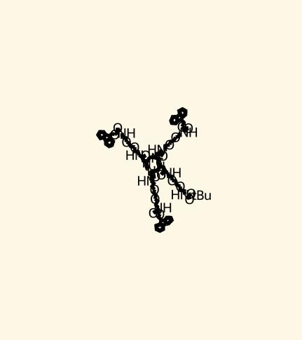 CC(C)(C)OC(=O)NCCOCCOCCNC(=O)CN1CCN(CC(=O)NCCOCCOCCNC(=O)OCC2c3ccccc3-c3ccccc32)CCN(CC(=O)NCCOCCOCCNC(=O)OCC2c3ccccc3-c3ccccc32)CCN(CC(=O)NCCOCCOCCNC(=O)OCC2c3ccccc3-c3ccccc32)CC1